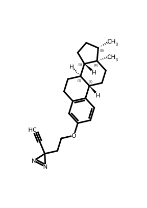 C#CC1(CCOc2ccc3c(c2)CC[C@@H]2[C@@H]3CC[C@]3(C)[C@@H](C)CC[C@@H]23)N=N1